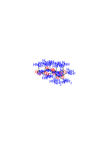 N=C(N)NCCC[C@H](NC(=O)[C@H](CCCNC(=N)N)NC(=O)[C@H](CCCNC(=N)N)NC(=O)[C@H](CCCNC(=N)N)NC(=O)[C@H](CCC(N)=O)NC(=O)[C@H](CCCNC(=N)N)NC(=O)[C@H](CCCNC(=N)N)NC(=O)[C@H](CCCNC(=N)N)NC(=O)[C@H](CCCNC(=N)N)NC(=O)[C@H](CCCNC(=N)N)NC(=O)CN)C(N)=O